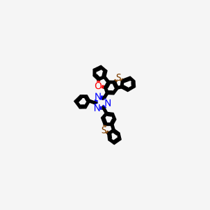 c1ccc(-c2nc(-c3ccc4c(c3)sc3ccccc34)nc(-c3cc4c5ccccc5sc4c4c3oc3ccccc34)n2)cc1